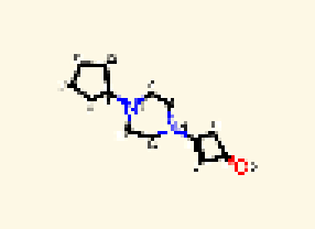 O=C1C=C(N2CCN(C3CCCC3)CC2)C1